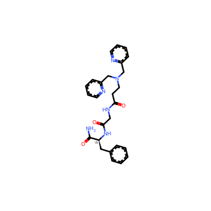 NC(=O)[C@H](Cc1ccccc1)NC(=O)CNC(=O)CCN(Cc1ccccn1)Cc1ccccn1